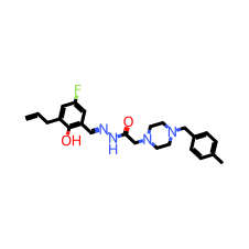 C=CCc1cc(F)cc(/C=N/NC(=O)CN2CCN(Cc3ccc(C)cc3)CC2)c1O